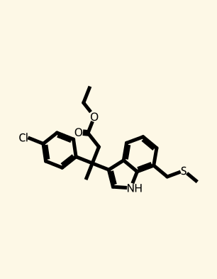 CCOC(=O)CC(C)(c1ccc(Cl)cc1)c1c[nH]c2c(CSC)cccc12